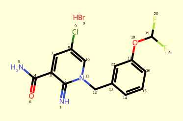 Br.N=c1c(C(N)=O)cc(Cl)cn1Cc1cccc(OC(F)F)c1